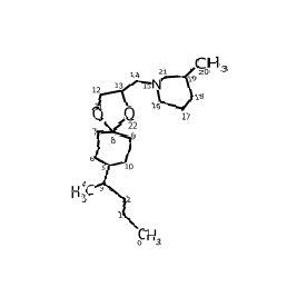 CCCC(C)C1CCC2(CC1)OCC(CN1CCCC(C)C1)O2